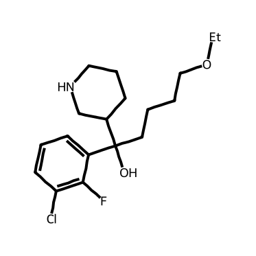 CCOCCCCC(O)(c1cccc(Cl)c1F)C1CCCNC1